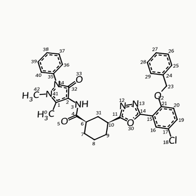 Cc1c(NC(=O)[C@@H]2CCC[C@H](c3nnc(-c4cc(Cl)ccc4OCc4ccccc4)o3)C2)c(=O)n(-c2ccccc2)n1C